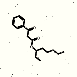 CCCCCC(CC)OC(=O)CC(=O)c1ccccc1